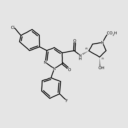 O=C(N[C@@H]1CN(C(=O)O)C[C@@H]1O)c1cc(-c2ccc(Cl)cc2)nn(-c2cccc(F)c2)c1=O